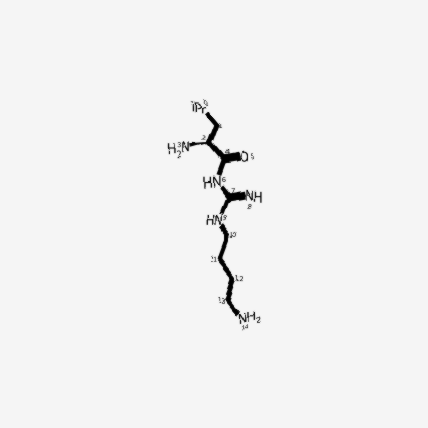 CC(C)C[C@H](N)C(=O)NC(=N)NCCCCN